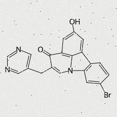 O=c1c(Cc2cncnc2)cn2c3cc(Br)ccc3c3cc(O)cc1c32